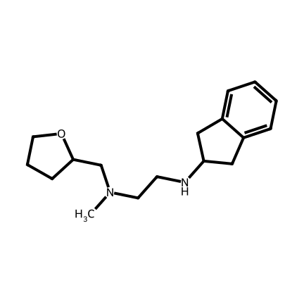 CN(CCNC1Cc2ccccc2C1)CC1CCCO1